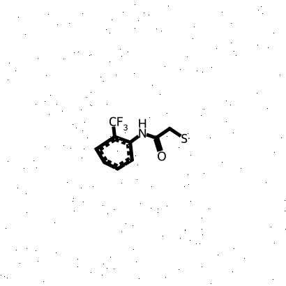 O=C(C[S])Nc1ccccc1C(F)(F)F